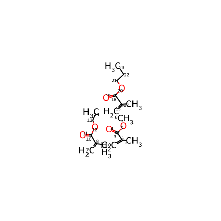 C=C(C)C(=O)OC.C=C(C)C(=O)OCC.C=C(C)C(=O)OCCC